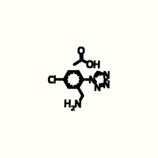 CC(=O)O.NCc1cc(Cl)ccc1-n1cnnn1